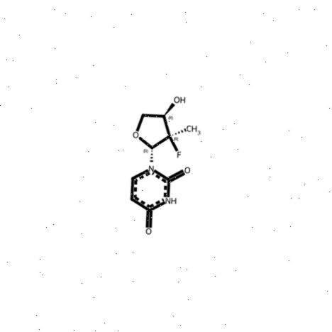 C[C@@]1(F)[C@H](O)CO[C@H]1n1ccc(=O)[nH]c1=O